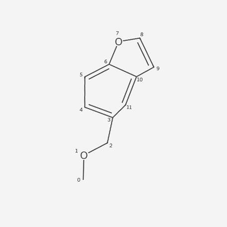 COCc1ccc2occc2c1